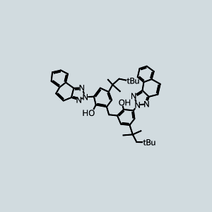 CC(C)(C)CC(C)(C)c1cc(Cc2cc(C(C)(C)CC(C)(C)C)cc(-n3nc4ccc5ccccc5c4n3)c2O)c(O)c(-n2nc3ccc4ccccc4c3n2)c1